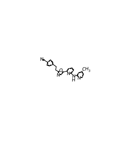 Cc1ccnc(Nc2cccc(-c3cnc(CCc4ccc(C#N)cc4)o3)n2)c1